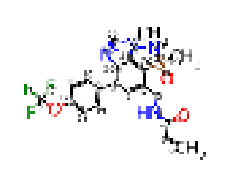 C=CC(=O)NCc1cc(-c2ccc(OC(F)(F)F)cc2)c2[n+]#cn(C)c2c1[S@@](C)(=N)=O